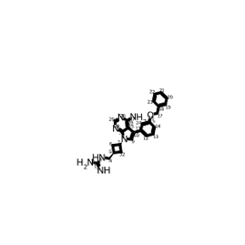 N=C(N)NC[C@H]1C[C@H](n2cc(-c3cccc(OCc4ccccc4)c3)c3c(N)ncnc32)C1